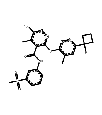 Cc1cc(C2(F)CCC2)nnc1Oc1nnc(C(F)(F)F)c(C)c1C(=O)Nc1cccc(S(C)(=O)=O)c1